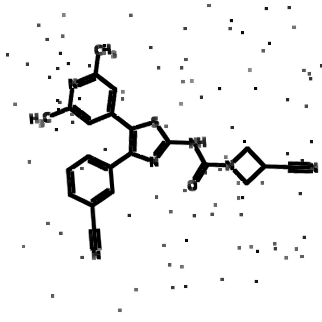 Cc1cc(-c2sc(NC(=O)N3CC(C#N)C3)nc2-c2cccc(C#N)c2)cc(C)n1